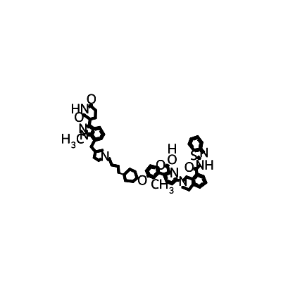 Cc1c(O[C@H]2CC[C@H](CCCCN3CCC(Cc4cccc5c(C6CCC(=O)NC6=O)nn(C)c45)C3)CC2)cccc1-c1ccc(N2CCc3cccc(C(=O)Nc4nc5ccccc5s4)c3C2)nc1C(=O)O